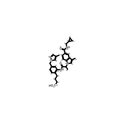 Cc1cnn(Cc2ccc(CCCC(=O)O)c(NC(=O)C(C)n3cc(C)c4cc(C(=O)NCC5CC5)ccc43)c2)c1